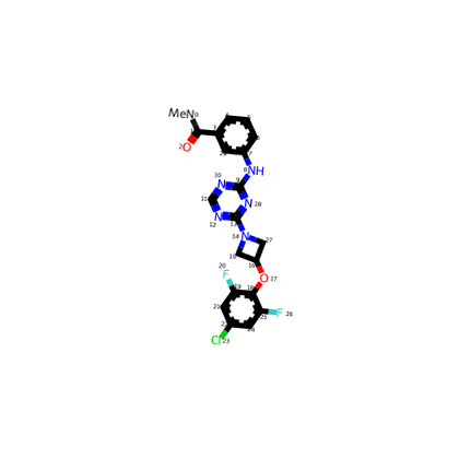 CNC(=O)c1cccc(Nc2ncnc(N3CC(Oc4c(F)cc(Cl)cc4F)C3)n2)c1